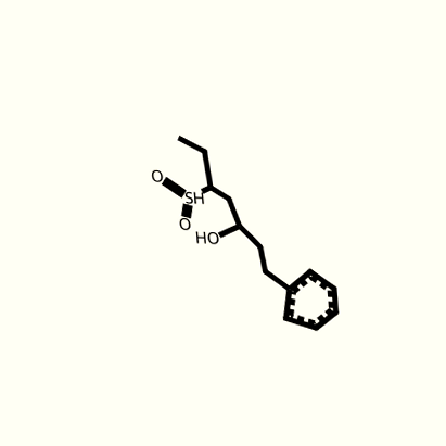 CCC(CC(O)CCc1ccccc1)[SH](=O)=O